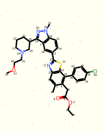 CCOC(=O)Cc1c(C)cc2nc(-c3ccc4c(c3)c(C3CCCN(CCOC)C3)nn4C)sc2c1-c1ccc(Cl)cc1